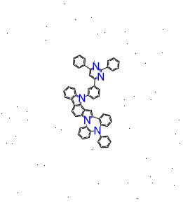 c1ccc(-c2cc(-c3cccc(-n4c5ccccc5c5ccc6c(cc7n6-c6ccccc6N(c6ccccc6)c6ccccc6-7)c54)c3)nc(-c3ccccc3)n2)cc1